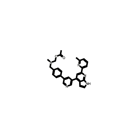 CC(=O)OCN(C)Cc1ccc(-c2cncc(-c3cc(-c4cccc(C)n4)nc4[nH]ccc34)c2)cc1